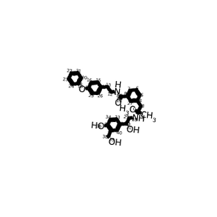 CC(C)(Cc1cccc(C(=O)NCCc2ccc(Oc3ccccc3)cc2)c1)NC[C@@H](O)c1ccc(O)c(CO)c1